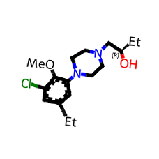 CCc1cc(Cl)c(OC)c(N2CCN(C[C@H](O)CC)CC2)c1